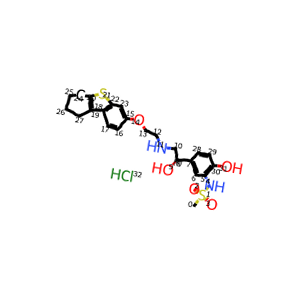 CS(=O)(=O)Nc1cc([C@@H](O)CNCCOc2ccc3c4c(sc3c2)CCCC4)ccc1O.Cl